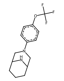 FC(F)(F)Oc1ccc(N2CC3CCCC(C2)N3)cc1